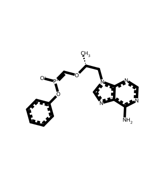 C[C@H](Cn1cnc2c(N)ncnc21)OC=[P+]([O-])Oc1ccccc1